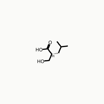 CC(C)C[C@H](CO)C(=O)O